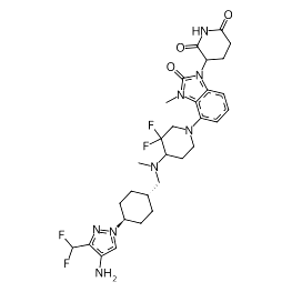 CN(C[C@H]1CC[C@H](n2cc(N)c(C(F)F)n2)CC1)C1CCN(c2cccc3c2n(C)c(=O)n3C2CCC(=O)NC2=O)CC1(F)F